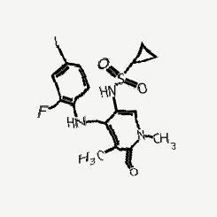 Cc1c(Nc2ccc(I)cc2F)c(NS(=O)(=O)C2CC2)cn(C)c1=O